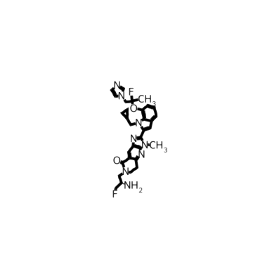 Cn1c(-c2cc3cccc(OC(C)(F)Cn4ccnc4)c3n2CC2CC2)nc2cc3c(nc21)CCN(C[C@H](N)CF)C3=O